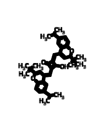 CC(C)c1ccc2c(c1)C(C=C1C(=O)C(/C=C3\C=C(C(C)(C)C)Oc4ccc(C(C)C)cc43)=C1O)=CC(C(C)(C)C)O2